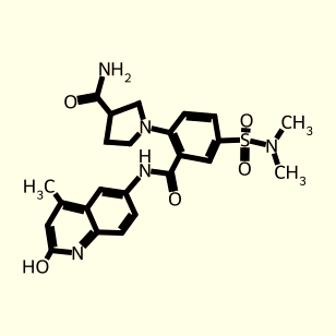 Cc1cc(O)nc2ccc(NC(=O)c3cc(S(=O)(=O)N(C)C)ccc3N3CCC(C(N)=O)C3)cc12